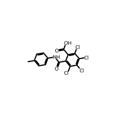 Cc1ccc(NC(=O)c2c(Cl)c(Cl)c(Cl)c(Cl)c2C(=O)O)cc1